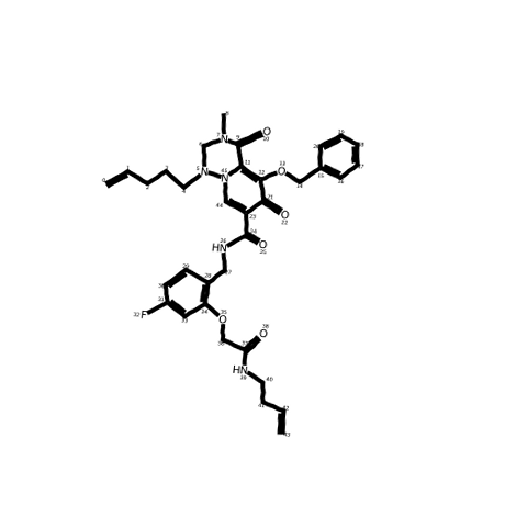 C=CCCCN1CN(C)C(=O)c2c(OCc3ccccc3)c(=O)c(C(=O)NCc3ccc(F)cc3OCC(=O)NCCC=C)cn21